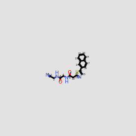 N#CCNC(=O)CNC(=O)Cc1ncc(-c2ccc3ccccc3c2)s1